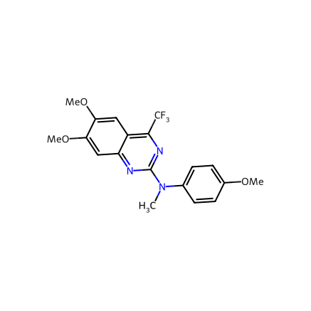 COc1ccc(N(C)c2nc(C(F)(F)F)c3cc(OC)c(OC)cc3n2)cc1